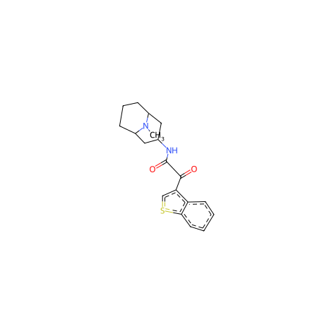 CN1C2CCCC1CC(NC(=O)C(=O)c1csc3ccccc13)C2